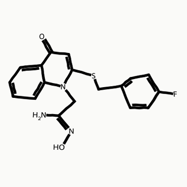 N/C(Cn1c(SCc2ccc(F)cc2)cc(=O)c2ccccc21)=N\O